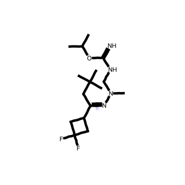 CC(C)OC(=N)NCN(C)/N=C(\CC(C)(C)C)C1CC(F)(F)C1